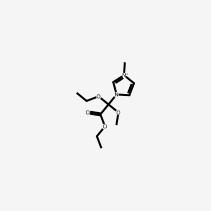 CCOC(=O)C(OC)(OCC)n1cc[n+](C)c1